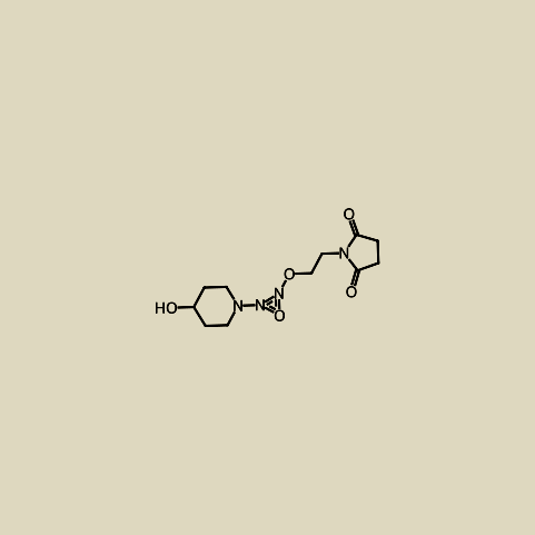 O=C1CCC(=O)N1CCOn1on1N1CCC(O)CC1